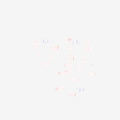 CO[C@H]1OC(CO)[C@H](OC2OC(CO)C(O[C@H]3OC(CO)[C@H](OC4OC(CO)C(O[C@@H]5O[C@@H](CO)C(O)C(O)C5N)[C@H](O)[C@@H]4C)C(O)[C@H]3NC(C)=O)[C@H](O)[C@@H]2C)C(O)[C@H]1NC(C)=O